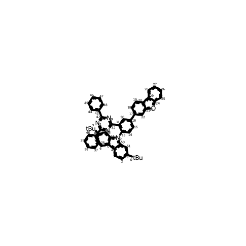 CC(C)(C)c1ccc2c3ccc(C(C)(C)C)cc3n(-c3ccc(-c4ccc5c(c4)oc4ccccc45)cc3-c3nc(-c4ccccc4)nc(-c4ccccc4)n3)c2c1